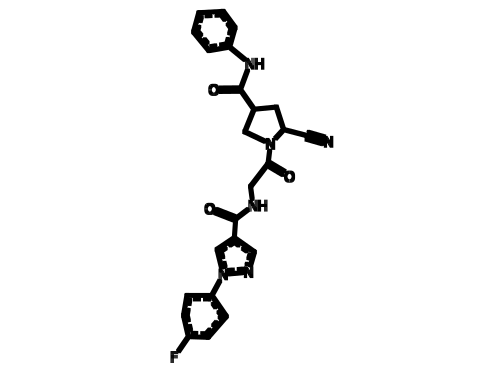 N#CC1CC(C(=O)Nc2ccccc2)CN1C(=O)CNC(=O)c1cnn(-c2ccc(F)cc2)c1